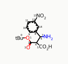 CC(C)(C)OC(=O)C(C(=O)O)C(N)c1cccc([N+](=O)[O-])c1